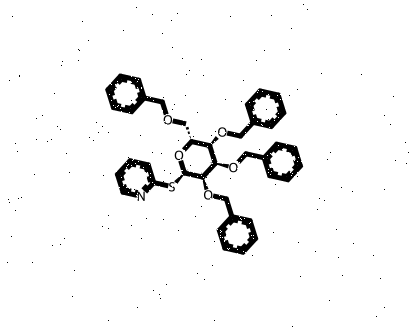 c1ccc(COC[C@H]2O[C@H](Sc3ccccn3)[C@H](OCc3ccccc3)[C@H](OCc3ccccc3)[C@@H]2OCc2ccccc2)cc1